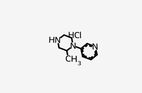 CC1CNCCN1c1cccnc1.Cl